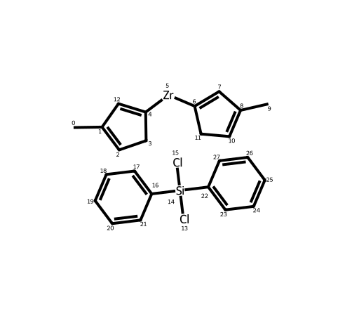 CC1=CC[C]([Zr][C]2=CC(C)=CC2)=C1.Cl[Si](Cl)(c1ccccc1)c1ccccc1